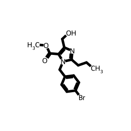 CCCc1nc(CO)c(C(=O)OC)n1Cc1ccc(Br)cc1